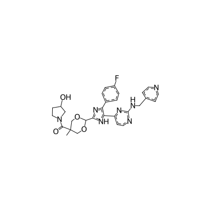 CC1(C(=O)N2CCC(O)C2)COC(c2nc(-c3ccc(F)cc3)c(-c3ccnc(NCc4ccncc4)n3)[nH]2)OC1